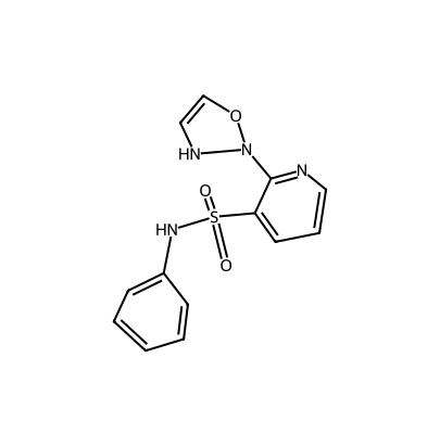 O=S(=O)(Nc1ccccc1)c1cccnc1N1NC=CO1